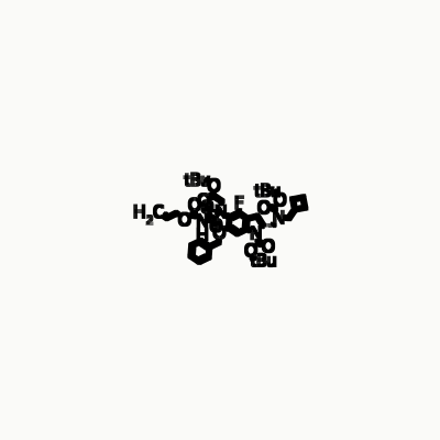 C=CCOC(=O)NS(=O)(=O)N(CC(=O)OC(C)(C)C)c1c(OCc2ccccc2)cc2c(c1F)C[C@H](CN(CC1CCC1)C(=O)OC(C)(C)C)N2C(=O)OC(C)(C)C